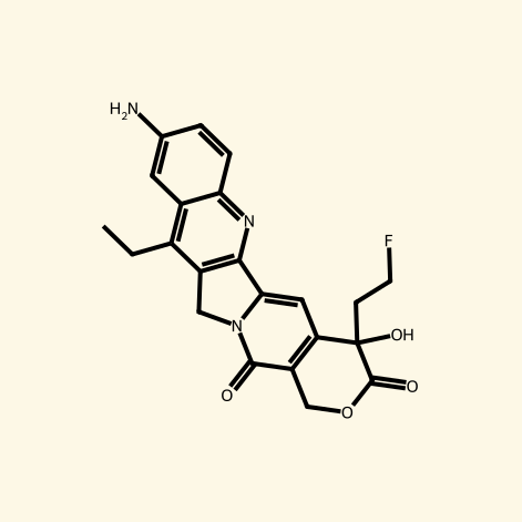 CCc1c2c(nc3ccc(N)cc13)-c1cc3c(c(=O)n1C2)COC(=O)C3(O)CCF